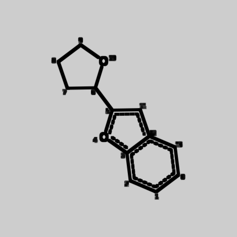 c1ccc2oc(C3CCCO3)cc2c1